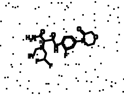 CC(C)CN(CC(F)F)[C@@H](C(N)=O)C(=O)Nc1ccc(N2CCOCC2=O)cc1F